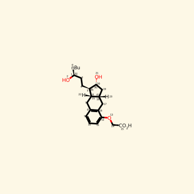 CCCC[C@H](O)CC[C@@H]1[C@H]2Cc3cccc(OCC(=O)O)c3C[C@H]2C[C@H]1O